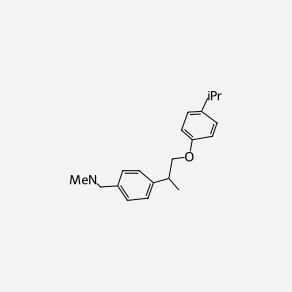 CNCc1ccc(C(C)COc2ccc(C(C)C)cc2)cc1